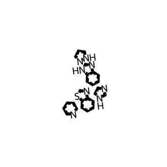 c1c[nH]cn1.c1ccc2[nH]cnc2c1.c1ccc2scnc2c1.c1ccncc1.c1cn[nH]c1